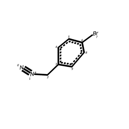 N#[N+]Cc1ccc(Br)cc1